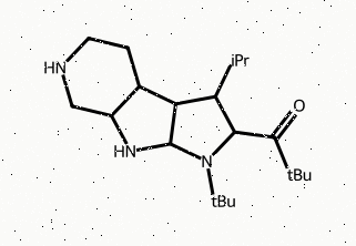 CC(C)C1C2C3CCNCC3NC2N(C(C)(C)C)C1C(=O)C(C)(C)C